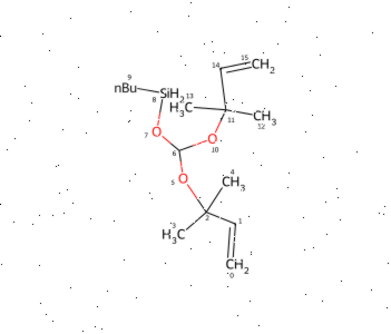 C=CC(C)(C)OC(O[SiH2]CCCC)OC(C)(C)C=C